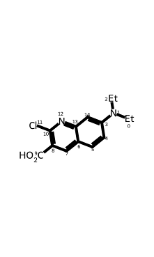 CCN(CC)c1ccc2cc(C(=O)O)c(Cl)nc2c1